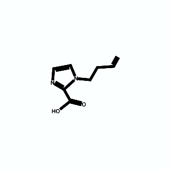 C=CCCn1ccnc1C(=O)O